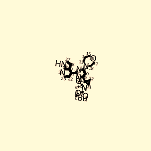 CC(C)(C)OC(=O)N=S(C)(=O)C1(c2cc(N3CCCOCC3)nc(-c3ccnc4[nH]ccc34)n2)CC1